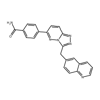 NC(=O)c1ccc(-c2ccc3nnc(Cc4ccc5ncccc5c4)n3n2)cc1